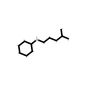 CC(C)CCCOC1CCCCC1